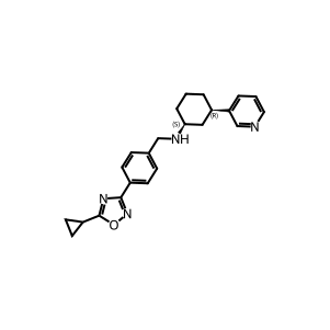 c1cncc([C@@H]2CCC[C@H](NCc3ccc(-c4noc(C5CC5)n4)cc3)C2)c1